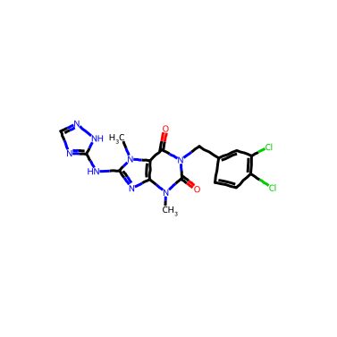 Cn1c(Nc2ncn[nH]2)nc2c1c(=O)n(Cc1ccc(Cl)c(Cl)c1)c(=O)n2C